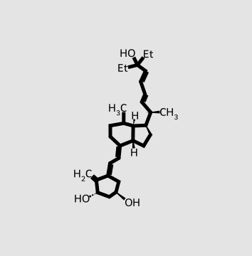 C=C1C(=CC=C2CCC(C)[C@H]3[C@@H]([C@H](C)/C=C/C=C/C(O)(CC)CC)CC[C@H]23)C[C@@H](O)C[C@@H]1O